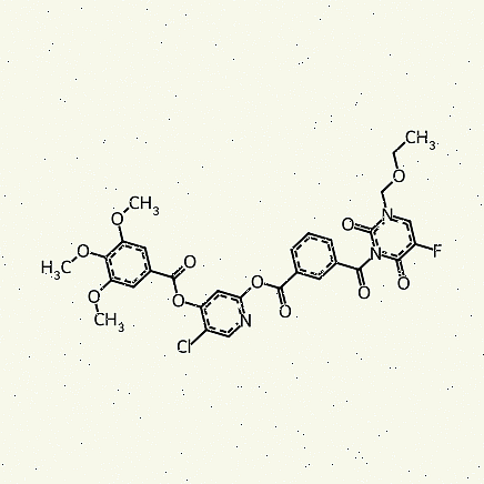 CCOCn1cc(F)c(=O)n(C(=O)c2cccc(C(=O)Oc3cc(OC(=O)c4cc(OC)c(OC)c(OC)c4)c(Cl)cn3)c2)c1=O